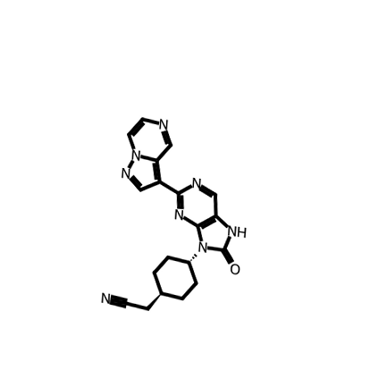 N#CC[C@H]1CC[C@H](n2c(=O)[nH]c3cnc(-c4cnn5ccncc45)nc32)CC1